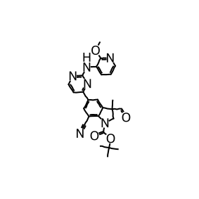 COc1ncccc1Nc1nccc(-c2cc(C#N)c3c(c2)C(C)(C=O)CN3C(=O)OC(C)(C)C)n1